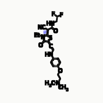 CCn1c(=O)c(=C=CNc2ccc(OCCN(C)C)cc2)s/c1=C(/C#N)C(=O)NCC(F)F